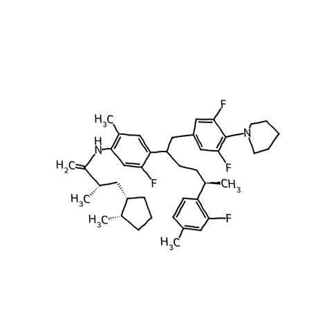 C=C(Nc1cc(F)c(C(CC[C@@H](C)c2ccc(C)cc2F)Cc2cc(F)c(N3CCCCC3)c(F)c2)cc1C)[C@@H](C)C[C@@H]1CCC[C@@H]1C